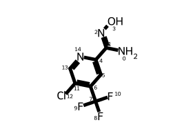 NC(=NO)c1cc(C(F)(F)F)c(Cl)cn1